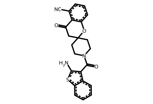 N#Cc1cccc2c1C(=O)CC1(CCN(C(=O)c3c(N)sc4ccccc34)CC1)O2